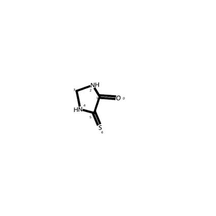 O=C1N[CH]NC1=S